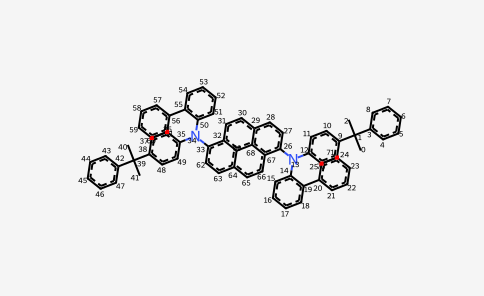 CC(C)(c1ccccc1)c1ccc(N(c2ccccc2-c2ccccc2)c2ccc3ccc4c(N(c5ccc(C(C)(C)c6ccccc6)cc5)c5ccccc5-c5ccccc5)ccc5ccc2c3c54)cc1